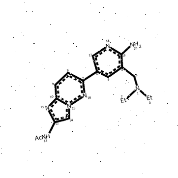 CCN(CC)Cc1cc(-c2ccc3nc(NC(C)=O)cn3n2)cnc1N